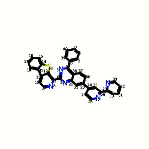 c1ccc(-c2nc(-c3nccc4c3sc3ccccc34)nc3cc(-c4ccnc(-c5ccccn5)c4)ccc23)cc1